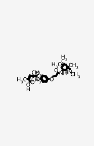 CNCC1(C)CC(NC(=O)CCOc2ccc(OC(=O)C(C)(C)C=C(C)C(=O)O)cc2)CC(C)(C)C1